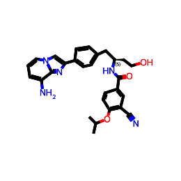 CC(C)Oc1ccc(C(=O)N[C@H](CCO)Cc2ccc(-c3cn4cccc(N)c4n3)cc2)cc1C#N